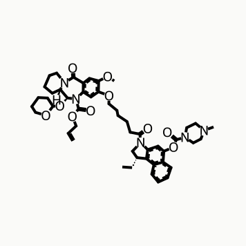 C=CCOC(=O)N1c2cc(OCCCCCC(=O)N3C[C@@H](CC)c4c3cc(OC(=O)N3CCN(C)CC3)c3ccccc43)c(OC)cc2C(=O)N2CCCC[C@H]2[C@@H]1OC1CCCCO1